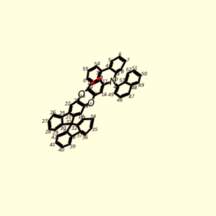 c1ccc(-c2ccccc2N(c2ccc3c(c2)Oc2cc4c(cc2O3)-c2ccccc2C42c3ccccc3-c3ccccc32)c2cccc3ccccc23)cc1